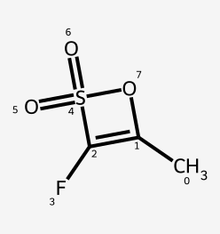 CC1=C(F)S(=O)(=O)O1